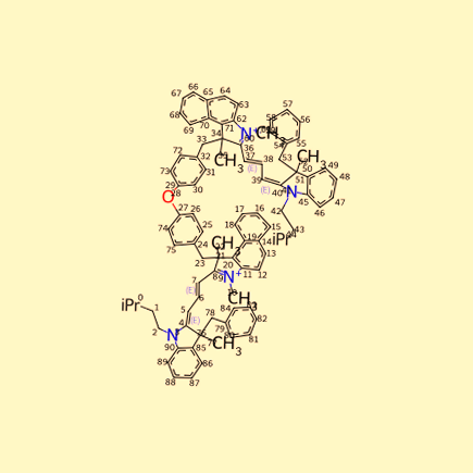 CC(C)CCN1/C(=C/C=C/C2=[N+](C)c3ccc4ccccc4c3C2(C)Cc2ccc(Oc3ccc(CC4(C)C(/C=C/C=C5/N(CCC(C)C)c6ccccc6C5(C)Cc5ccccc5)=[N+](C)c5ccc6ccccc6c54)cc3)cc2)C(C)(Cc2ccccc2)c2ccccc21